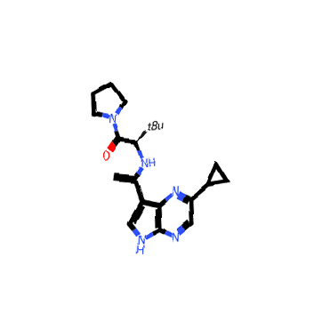 C=C(N[C@@H](C(=O)N1CCCC1)C(C)(C)C)c1c[nH]c2ncc(C3CC3)nc12